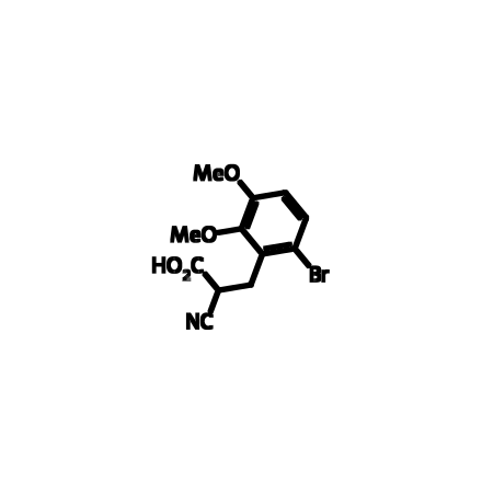 COc1ccc(Br)c(CC(C#N)C(=O)O)c1OC